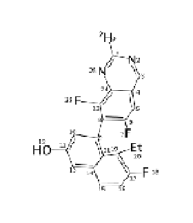 [2H]c1ncc2cc(F)c(-c3cc(O)cc4ccc(F)c(CC)c34)c(F)c2n1